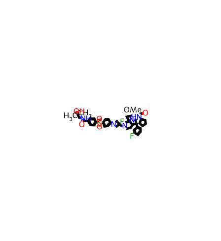 COC(=O)N[C@H]1CCC[C@@H]1C(CN1CCC1)(c1cccc(F)c1)C1CCN(CC2(F)CN(c3ccc(S(=O)(=O)c4ccc(C(=O)NCC(C)(C)O)cc4)cc3)C2)CC1